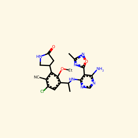 CCOc1c(C(C)Nc2ncnc(N)c2-c2nc(C)no2)cc(Cl)c(C#N)c1C1CNC(=O)C1